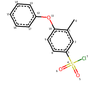 Cc1cc(S(=O)(=O)Cl)ccc1Oc1ccccc1